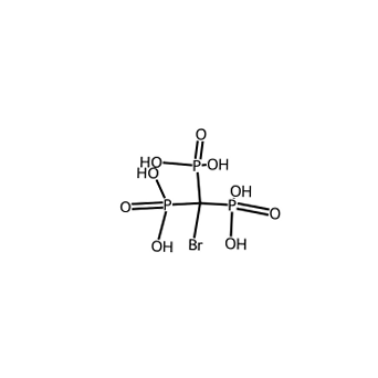 O=P(O)(O)C(Br)(P(=O)(O)O)P(=O)(O)O